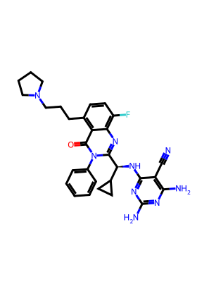 N#Cc1c(N)nc(N)nc1N[C@H](c1nc2c(F)ccc(CCCN3CCCC3)c2c(=O)n1-c1ccccc1)C1CC1